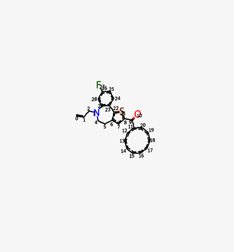 C=CCN1CCc2cc(C(=O)c3ccccccccc3)sc2-c2ccc(F)cc21